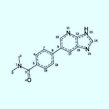 CN(C)C(=O)c1ccc(-c2cnc3[nH][c]nc3c2)cc1